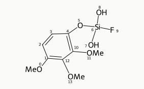 COc1ccc(O[Si](O)(O)F)c(OC)c1OC